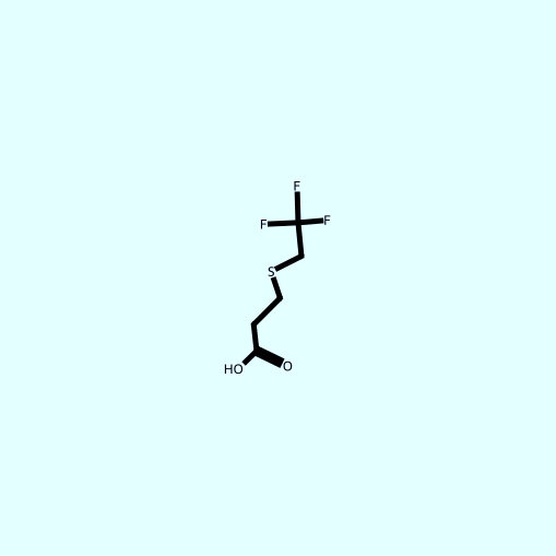 O=C(O)CCSCC(F)(F)F